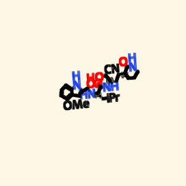 COc1cccc2[nH]c(C(=O)N[C@@H](CC(C)C)C(=O)N[C@@H](CC[C@@H]3CCCNC3=O)C(O)C#N)cc12